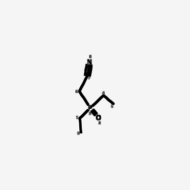 CCP(=O)(CC)CC#N